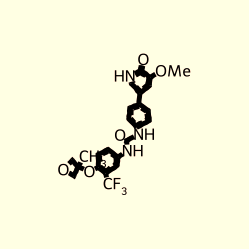 COc1cc(-c2ccc(NC(=O)Nc3ccc(OC4(C)COC4)c(C(F)(F)F)c3)cc2)c[nH]c1=O